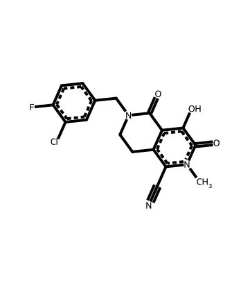 Cn1c(C#N)c2c(c(O)c1=O)C(=O)N(Cc1ccc(F)c(Cl)c1)CC2